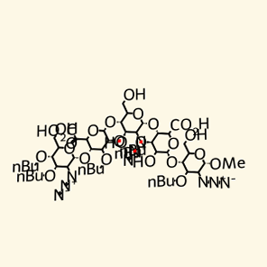 CCCCOC1C(N=[N+]=[N-])[C@@H](OC)OC(CO)[C@H]1O[C@@H]1OC(C(=O)O)[C@@H](O[C@H]2OC(CO)[C@@H](O[C@@H]3OC(C(=O)C(=O)O)[C@@H](O[C@H]4OC(CO)[C@@H](OCCCC)[C@H](OCCCC)C4N=[N+]=[N-])C(OCCCC)[C@@H]3OCCCC)[C@H](O)C2N=[N+]=[N-])[C@H](OCCCC)C1O